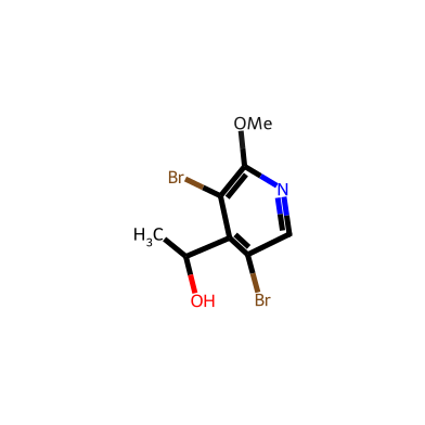 COc1ncc(Br)c(C(C)O)c1Br